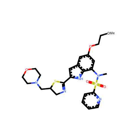 COCCOc1cc(N(C)S(=O)(=O)c2ccccn2)c2[nH]c(C3=NCC(CN4CCOCC4)S3)cc2c1